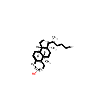 CC(C)CCC[C@@H](C)[C@H]1CC[C@H]2[C@@H]3CC=C4[13CH2][13C@@H](O)[13CH2]C[C@]4(C)[C@H]3CC[C@]12C